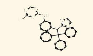 Clc1ncnc(Nc2cccc(C(c3ncc[nH]3)C(c3ccccc3)(c3ccccc3)c3ccccc3)c2)n1